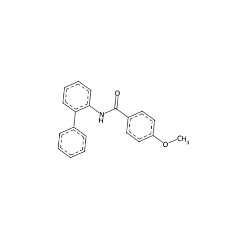 COc1ccc(C(=O)Nc2ccccc2-c2ccccc2)cc1